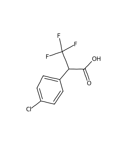 O=C(O)C(c1ccc(Cl)cc1)C(F)(F)F